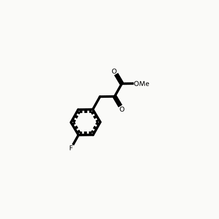 COC(=O)C(=O)Cc1ccc(F)cc1